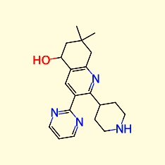 CC1(C)Cc2nc(C3CCNCC3)c(-c3ncccn3)cc2C(O)C1